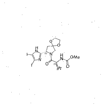 COC(=O)N[C@H](C(=O)N1CC2(C[C@H]1c1nc(I)c(I)[nH]1)OCCO2)C(C)C